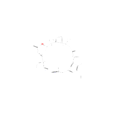 COc1cc2cc(c1Cl)N(C)C(=O)C[C@H](O)[C@]1(C)CO[C@H]1[C@H](C)[C@@H]1C[C@@](O)(NC(=O)O1)[C@H](OC)/C=C/C=C(\C)C2